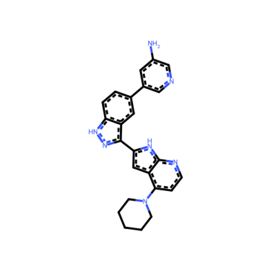 Nc1cncc(-c2ccc3[nH]nc(-c4cc5c(N6CCCCC6)ccnc5[nH]4)c3c2)c1